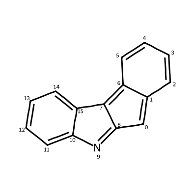 C1=c2ccccc2=C2C1=Nc1ccccc12